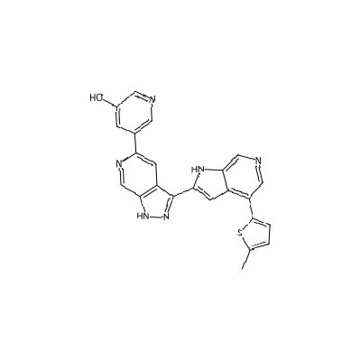 Cc1ccc(-c2cncc3[nH]c(-c4n[nH]c5cnc(-c6cncc(O)c6)cc45)cc23)s1